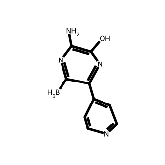 Bc1nc(N)c(O)nc1-c1ccncc1